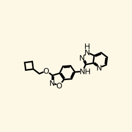 c1cnc2c(Nc3ccc4c(OCC5CCC5)noc4c3)n[nH]c2c1